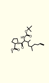 C=CCCC(C)CC(C)C(NC(=O)OC(C)(C)C)C(=O)N1CCCC1C(=O)OC